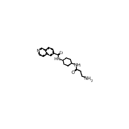 NCCC(=O)NC1CCC(NC(=O)c2ccc3cnccc3c2)CC1